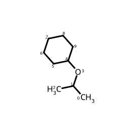 CC(C)OC1CC[CH]CC1